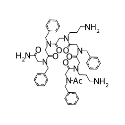 CC(=O)N(CC(=O)N(CCCN)CC(=O)N(CC(=O)N(CCCN)CC(=O)N(CC(=O)N(CC(N)=O)Cc1ccccc1)Cc1ccccc1)Cc1ccccc1)Cc1ccccc1